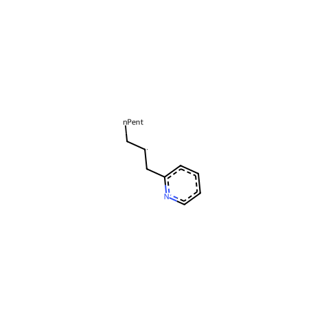 CCCCCC[CH]Cc1ccccn1